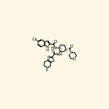 CN1CCc2nc(C(=O)N[C@@H]3C[C@@H](C(=O)N4CCOCC4)CC[C@@H]3NC(=O)c3cc4cc(Cl)ccc4[nH]3)sc2C1